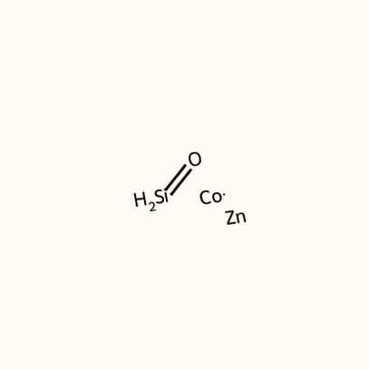 O=[SiH2].[Co].[Zn]